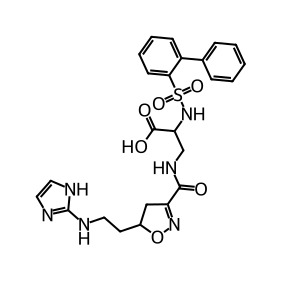 O=C(NCC(NS(=O)(=O)c1ccccc1-c1ccccc1)C(=O)O)C1=NOC(CCNc2ncc[nH]2)C1